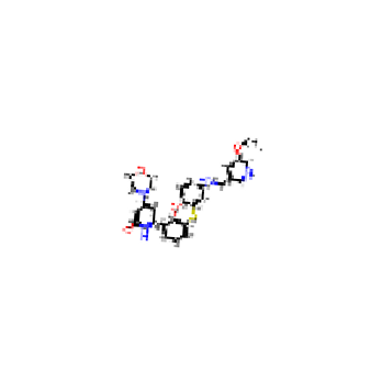 COc1cncc(CNc2ccc3c(c2)Sc2cccc(-c4cc(N5CCOCC5)cc(=O)[nH]4)c2O3)c1